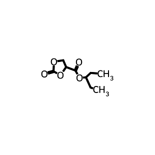 CCC(CC)OC(=O)C1COC(=O)O1